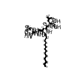 CCCCCCCCCCCCCC(=O)N[C@@H](CCCNC(=N)N[N+](=O)[O-])C(=O)N[C@@H](CC(C)C)B(O)O